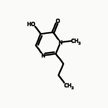 CCCc1ncc(O)c(=O)n1C